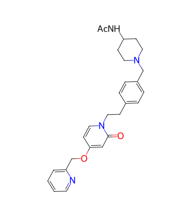 CC(=O)NC1CCN(Cc2ccc(CCn3ccc(OCc4ccccn4)cc3=O)cc2)CC1